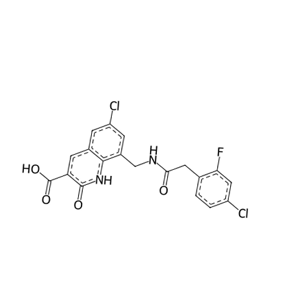 O=C(Cc1ccc(Cl)cc1F)NCc1cc(Cl)cc2cc(C(=O)O)c(=O)[nH]c12